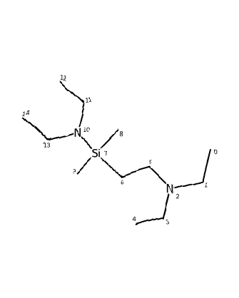 CCN(CC)CC[Si](C)(C)N(CC)CC